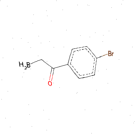 BCC(=O)c1ccc(Br)cc1